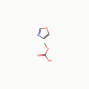 COC(=O)O.c1cocn1